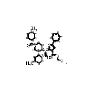 CCOC(=O)c1cc(-c2ccccc2)sc1N(C(=O)[C@H]1CC[C@H](C)CC1)C1CCN(C(=O)[C@H]2CC[C@H](C)CC2)CC1